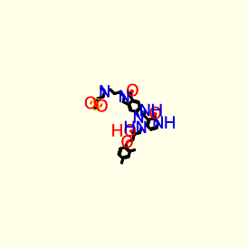 Cc1ccc(OCC(O)CNc2cc[nH]c(=O)c2-c2nc3cc4c(cc3[nH]2)C(=O)N(CCCN(C)CCS(C)(=O)=O)C4)c(C)c1